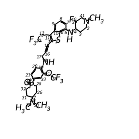 CN1CCC(Nc2cccc3c(CC(F)(F)F)c(C#CCNc4ccc(P5(=O)CCC(N(C)C)CC5)cc4OC(F)(F)F)sc23)[C@@H](F)C1